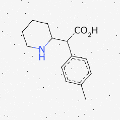 Cc1ccc(C(C(=O)O)C2CCCCN2)cc1